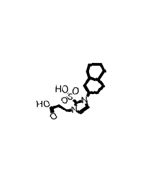 O=C(O)CCN1C=CN(C2CCC3CCCCC3C2)C1S(=O)(=O)O